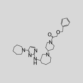 O=C(COCc1ccccc1)N1CCC(N2CCCCC(Nc3nccc(N4CCCCCC4)n3)C2)CC1